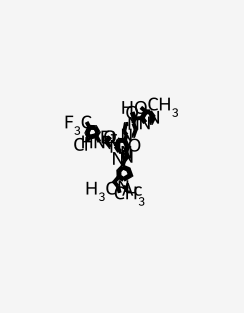 CCc1c(N2CCN(C(=O)c3ncnc(C)c3O)CC2)c(=O)n2nc(-c3ccc4c(c3)CC(C)(C)N4C(C)=O)nc2n1CC(=O)Nc1ccc(C(F)(F)F)cc1Cl